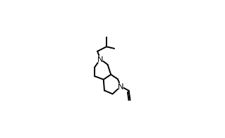 C=CN1CCC2CCN(CC(C)C)CC2C1